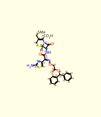 CSCC1=C(C(=O)O)N2C(=O)C(NC(=O)C(=NOCC(=O)OC(c3ccccc3)c3ccccc3)c3csc(N)n3)[C@@H]2SC1